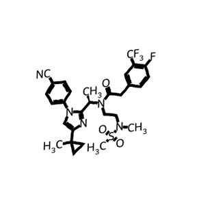 C[C@H](c1nc(C2(C)CC2)cn1-c1ccc(C#N)cc1)N(CCN(C)S(C)(=O)=O)C(=O)Cc1ccc(F)c(C(F)(F)F)c1